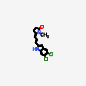 CN1C(=O)CCC1=CC=Cc1cc2cc(Cl)c(Cl)cc2[nH]1